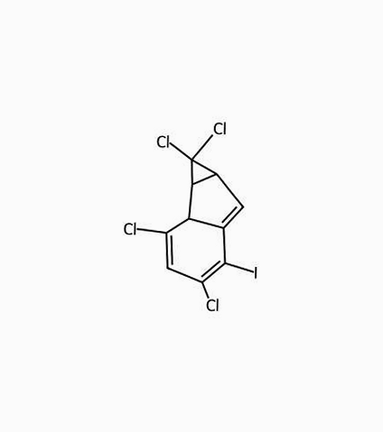 ClC1=CC(Cl)=C(I)C2=CC3C(C12)C3(Cl)Cl